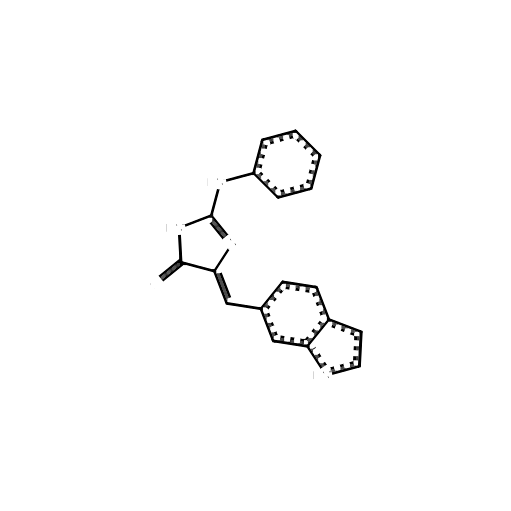 O=C1NC(Nc2ccccc2)=N/C1=C\c1ccc2cc[nH]c2c1